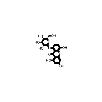 O=c1c2c(O)cc(O)cc2oc2c(O)ccc(OC3O[C@H](CO)[C@@H](O)[C@H](O)[C@H]3O)c12